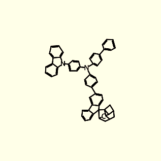 c1ccc(-c2ccc(N(c3ccc(-c4ccc5c(c4)-c4ccccc4C54C5CC6CC7CC4(C6)C7C5)cc3)c3ccc(-n4c5ccccc5c5ccccc54)cc3)cc2)cc1